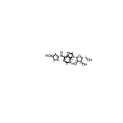 OC[C@H]1O[C@@H](n2cnc3c(N[C@@H]4CC[C@@H](O)C4)ncnc32)[C@H](O)[C@@H]1O